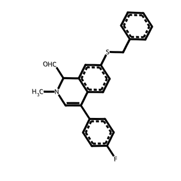 CN1C=C(c2ccc(F)cc2)c2ccc(SCc3ccccc3)cc2C1C=O